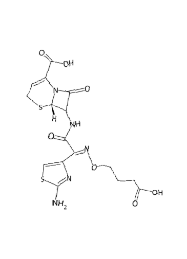 Nc1nc(C(=NOCCCC(=O)O)C(=O)NC2C(=O)N3C(C(=O)O)=CCS[C@@H]23)cs1